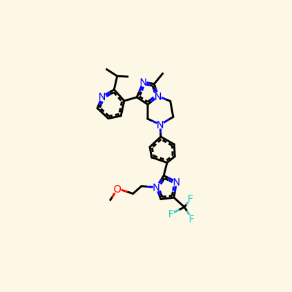 COCCn1cc(C(F)(F)F)nc1-c1ccc(N2CCn3c(C)nc(-c4cccnc4C(C)C)c3C2)cc1